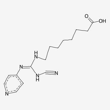 N#CNC(=Nc1ccncc1)NCCCCCCCC(=O)O